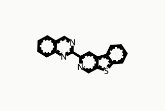 c1ccc2nc(-c3cc4c(cn3)sc3ccccc34)ncc2c1